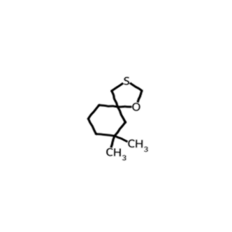 CC1(C)CCCC2(CSCO2)C1